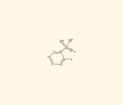 Cc1ccccc1S([O])(=O)=O